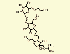 CCOCC1OC(COCC2C(COCC)OCC(O)(COC(C)C(C)(C)C)C2O)C(O)C(O)C1COCC1OC(COCCO)C(C(C)C)C(O)C1O